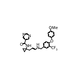 COc1ccc(Oc2ccc(CN/C=C/CC3(NC(=O)c4cncnc4)CC3)cc2C(F)(F)F)cc1